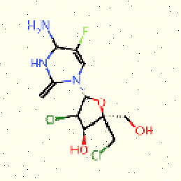 C=C1NC(N)C(F)=CN1[C@@H]1O[C@@](CO)(CCl)[C@@H](O)[C@H]1Cl